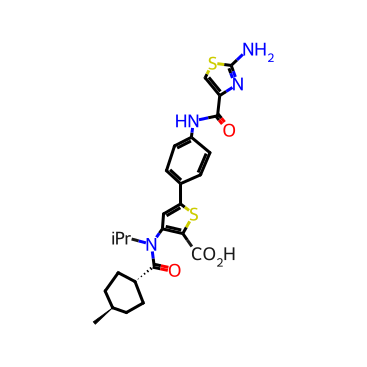 CC(C)N(c1cc(-c2ccc(NC(=O)c3csc(N)n3)cc2)sc1C(=O)O)C(=O)[C@H]1CC[C@H](C)CC1